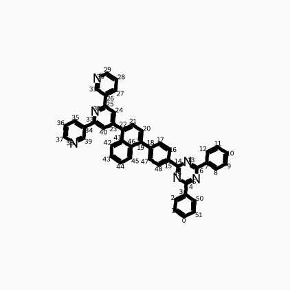 c1ccc(-c2nc(-c3ccccc3)nc(-c3ccc(-c4ccc(-c5cc(-c6cccnc6)nc(-c6cccnc6)c5)c5ccccc45)cc3)n2)cc1